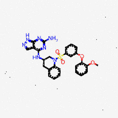 COc1ccccc1Oc1cccc(S(=O)(=O)N2CC(Nc3nc(N)nc4[nH]ncc34)Cc3ccccc32)c1